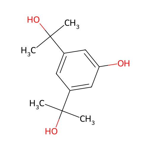 CC(C)(O)c1cc(O)cc(C(C)(C)O)c1